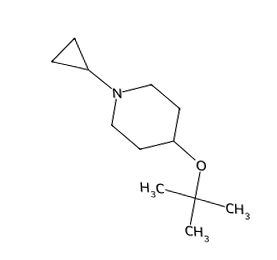 CC(C)(C)OC1CCN(C2CC2)CC1